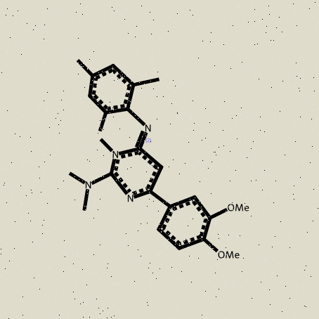 COc1ccc(-c2c/c(=N/c3c(C)cc(C)cc3C)n(C)c(N(C)C)n2)cc1OC